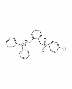 O=S(=O)(Cc1ccccc1CO[SiH](c1ccccc1)c1ccccc1)c1ccc(Cl)cc1